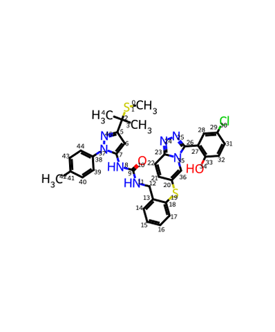 CSC(C)(C)c1cc(NC(=O)NCc2ccccc2Sc2ccc3nnc(-c4cc(Cl)ccc4O)n3c2)n(-c2ccc(C)cc2)n1